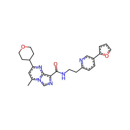 Cc1cc(C2CCOCC2)nc2c(C(=O)NCCc3ccc(-c4ccco4)cn3)ncn12